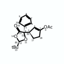 CC(=O)OC1=C[C@H]([C@@]2(c3ccccc3)O[C@@H](C(C)(C)C)OC2=O)CC1